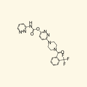 O=C(Nc1cccnn1)Oc1ccc(N2CCN(C(=O)c3ccccc3C(F)(F)F)CC2)nn1